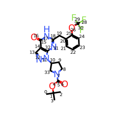 CC(C)(C)OC(=O)N1CCC(n2ncc3c(=O)[nH]c(Cc4ccccc4OC(F)(F)F)nc32)C1